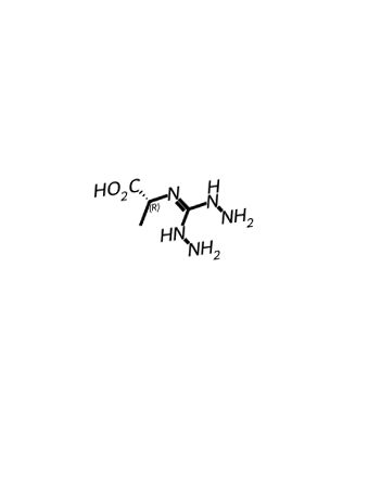 C[C@@H](N=C(NN)NN)C(=O)O